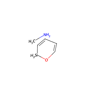 C1=CO[SiH2]C=C1.CN